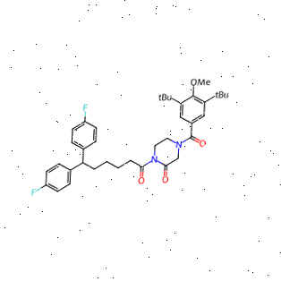 COc1c(C(C)(C)C)cc(C(=O)N2CCN(C(=O)CCCCC(c3ccc(F)cc3)c3ccc(F)cc3)C(=O)C2)cc1C(C)(C)C